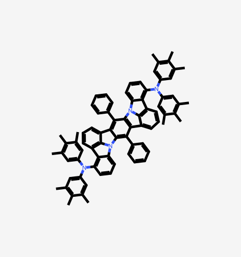 Cc1cc(N(c2cc(C)c(C)c(C)c2)c2cccc3c2c2cccc4c5c(-c6ccccc6)c6c(c(-c7ccccc7)c5n3c24)c2cccc3c4c(N(c5cc(C)c(C)c(C)c5)c5cc(C)c(C)c(C)c5)cccc4n6c32)cc(C)c1C